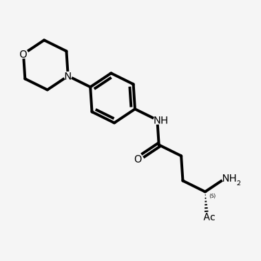 CC(=O)[C@@H](N)CCC(=O)Nc1ccc(N2CCOCC2)cc1